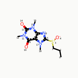 CCC[S+]([O-])c1nc2c(c(=O)n(C)c(=O)n2C)n1C